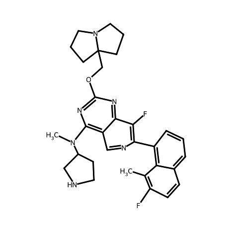 Cc1c(F)ccc2cccc(-c3ncc4c(N(C)C5CCNC5)nc(OCC56CCCN5CCC6)nc4c3F)c12